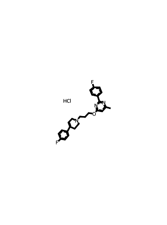 Cc1cc(OCCCN2CC=C(c3ccc(F)cc3)CC2)nc(-c2ccc(F)cc2)n1.Cl